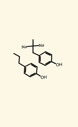 CCCc1ccc(O)cc1.C[C]([Na])([Na])Cc1ccc(O)cc1